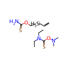 C=C[SiH3].CCN(CC)C(=S)ON(C)C.CCOC(N)=S